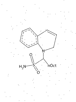 CCCCCCCCC(N1CC=Cc2ccccc21)S(N)(=O)=O